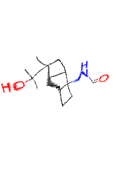 CC(C)(O)C1(C)C2C3CC4C1C2C34NC=O